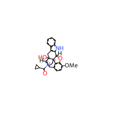 COc1ccc2c3c1O[C@H]1c4[nH]c5ccccc5c4C[C@@]4(O)[C@@H](C2)N(C(=O)C2CC2)CC[C@]314